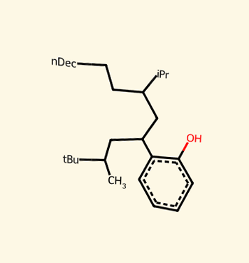 CCCCCCCCCCCCC(CC(CC(C)C(C)(C)C)c1ccccc1O)C(C)C